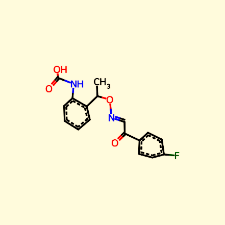 CC(ON=CC(=O)c1ccc(F)cc1)c1ccccc1NC(=O)O